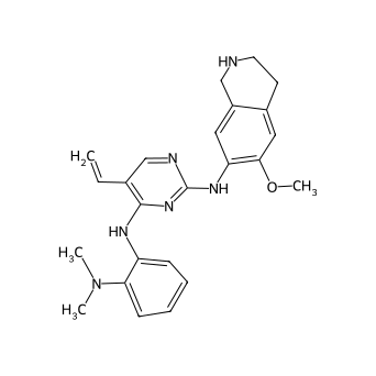 C=Cc1cnc(Nc2cc3c(cc2OC)CCNC3)nc1Nc1ccccc1N(C)C